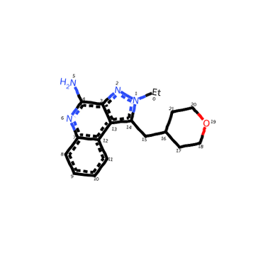 CCn1nc2c(N)nc3ccccc3c2c1CC1CCOCC1